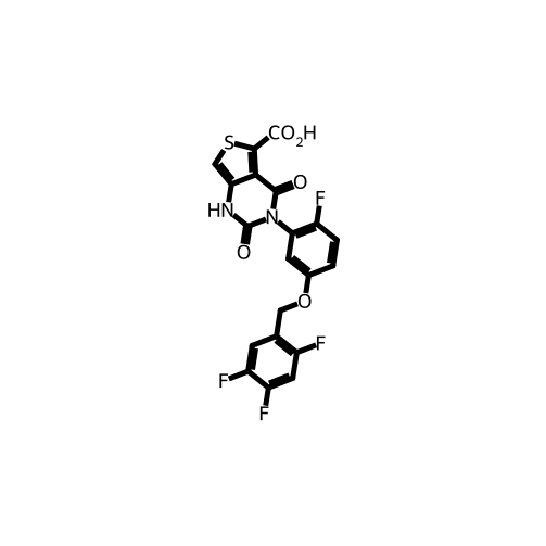 O=C(O)c1scc2[nH]c(=O)n(-c3cc(OCc4cc(F)c(F)cc4F)ccc3F)c(=O)c12